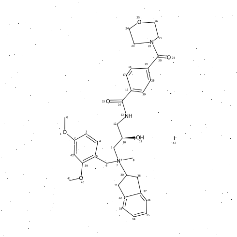 COc1ccc(C[N+](C)(C[C@H](O)CNC(=O)c2ccc(C(=O)N3CCOCC3)cc2)C2Cc3ccccc3C2)c(OC)c1.[I-]